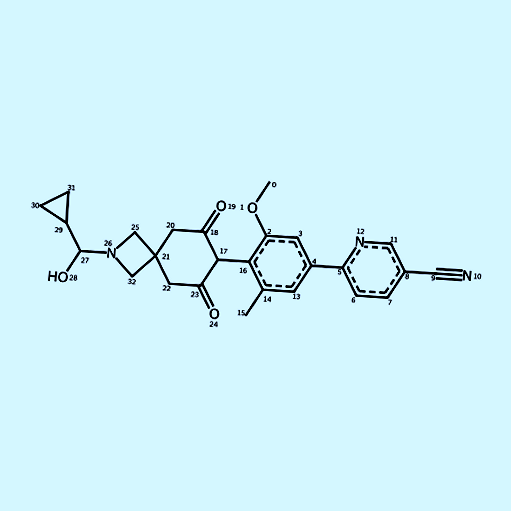 COc1cc(-c2ccc(C#N)cn2)cc(C)c1C1C(=O)CC2(CC1=O)CN(C(O)C1CC1)C2